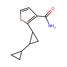 NC(=O)c1ccsc1C1CC1C1CC1